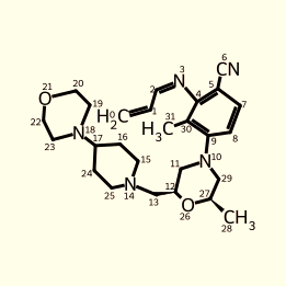 C=C/C=N\c1c(C#N)ccc(N2C[C@H](CN3CCC(N4CCOCC4)CC3)O[C@H](C)C2)c1C